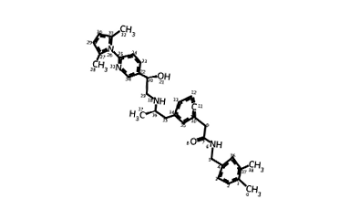 Cc1ccc(CNC(=O)Cc2cccc(C[C@@H](C)NC[C@H](O)c3ccc(-n4c(C)ccc4C)nc3)c2)cc1C